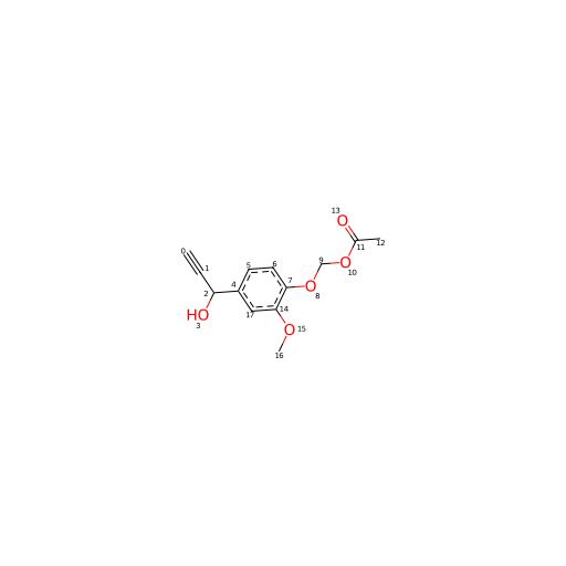 C#CC(O)c1ccc(OCOC(C)=O)c(OC)c1